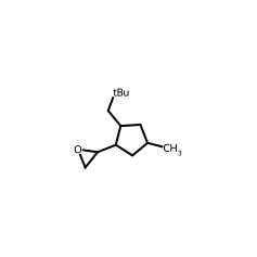 CC1CC(CC(C)(C)C)C(C2CO2)C1